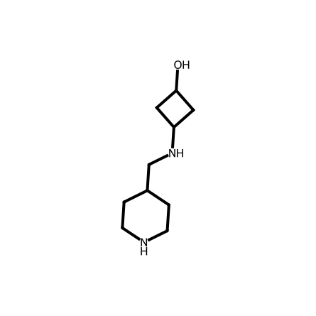 OC1CC(NCC2CCNCC2)C1